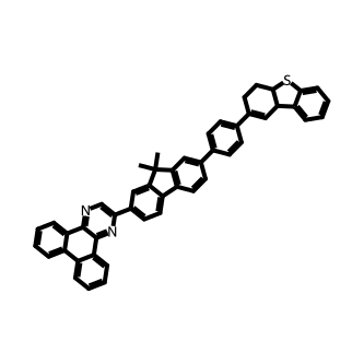 CC1(C)c2cc(-c3ccc(C4=CC5c6ccccc6SC5CC4)cc3)ccc2-c2ccc(-c3cnc4c5ccccc5c5ccccc5c4n3)cc21